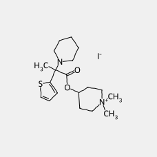 CC(C(=O)OC1CC[N+](C)(C)CC1)(c1cccs1)N1CCCCC1.[I-]